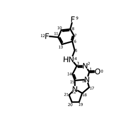 O=c1nc(NCc2cc(F)cc(F)c2)cc2n1CC1CCCN21